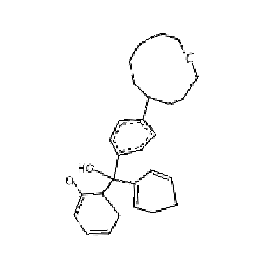 OC(C1=CCCC=C1)(c1ccc(C2CCCCCCCCC2)cc1)C1CC=CC=C1Cl